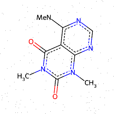 CNc1ncnc2c1c(=O)n(C)c(=O)n2C